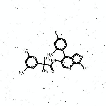 CCn1ncc2c(-c3ccc(F)cc3C)c(NC(=O)C(C)(C)c3cc(C(F)(F)F)cc(C(F)(F)F)c3)cnc21